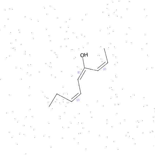 C\C=C/C(O)=C\C=C/CC